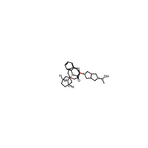 CB(O)N1CC2CN(c3nc4ccccc4n([C@H]4C[C@H]5CC[C@@H](C4)N5C4CCCCCCC4)c3=O)CC2C1